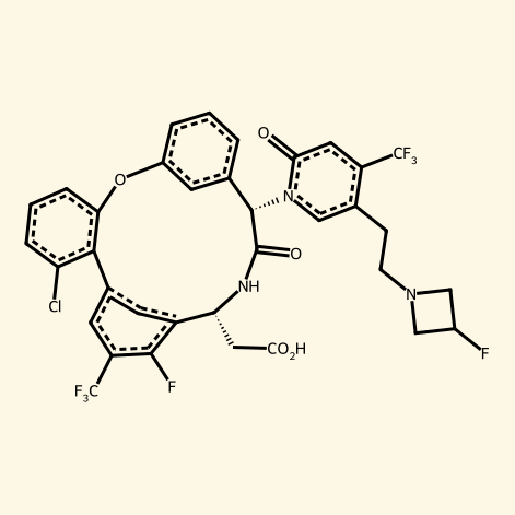 O=C(O)C[C@H]1NC(=O)[C@@H](n2cc(CCN3CC(F)C3)c(C(F)(F)F)cc2=O)c2cccc(c2)Oc2cccc(Cl)c2-c2cc1c(F)c(C(F)(F)F)c2